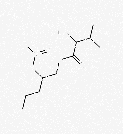 CCCC(COC(=O)C(N)C(C)C)O[N+](=O)[O-]